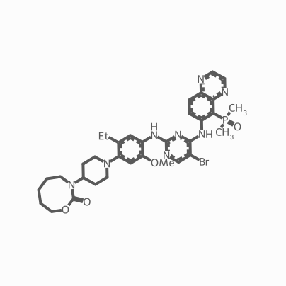 CCc1cc(Nc2ncc(Br)c(Nc3ccc4nccnc4c3P(C)(C)=O)n2)c(OC)cc1N1CCC(N2CCCCCOC2=O)CC1